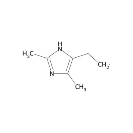 [CH2]Cc1[nH]c(C)nc1C